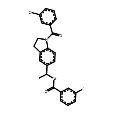 CC(NC(=O)c1cccc(Cl)c1)c1ccc2c(c1)CCN2C(=O)c1cccc(Cl)c1